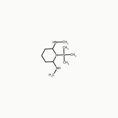 CNC1CCCC(NC)N1[Si](C)(C)C